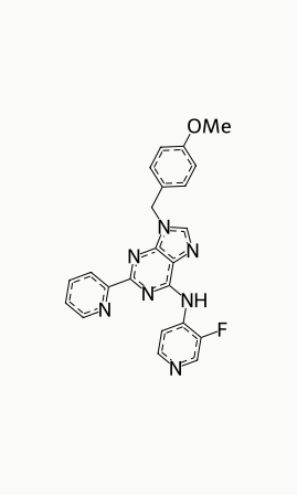 COc1ccc(Cn2cnc3c(Nc4ccncc4F)nc(-c4ccccn4)nc32)cc1